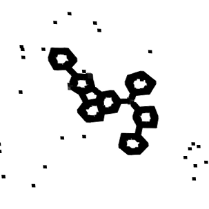 c1ccc(-c2cccc(N(c3ccccc3)c3cc4c5c(cccc5c3)-c3nc(-c5ccccc5)oc3-4)c2)cc1